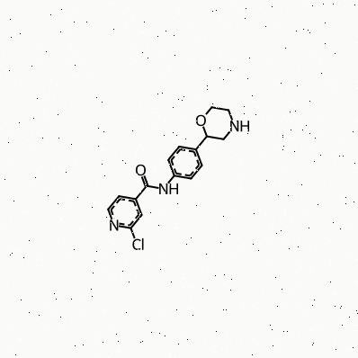 O=C(Nc1ccc(C2CNCCO2)cc1)c1ccnc(Cl)c1